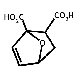 O=C(O)C1CC2C=CC1(C(=O)O)O2